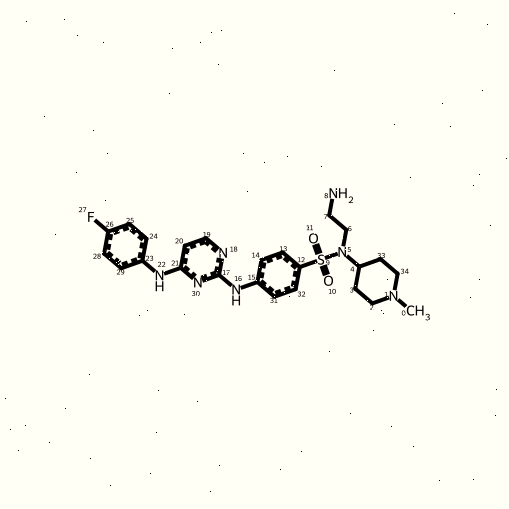 CN1CCC(N(CCN)S(=O)(=O)c2ccc(Nc3nccc(Nc4ccc(F)cc4)n3)cc2)CC1